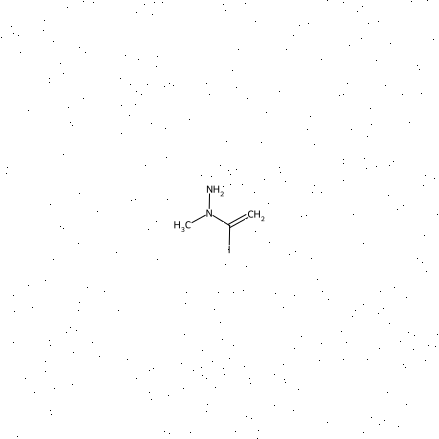 C=C(I)N(C)N